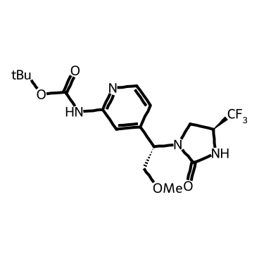 COC[C@H](c1ccnc(NC(=O)OC(C)(C)C)c1)N1C[C@@H](C(F)(F)F)NC1=O